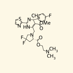 COC(=O)C1=C(CN2CC(F)(F)C[C@H]2C(=O)OCCN(C)C)NC(c2nccs2)=N[C@@]1(C)c1ccc(F)cc1